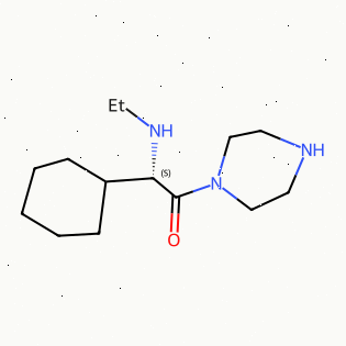 CCN[C@H](C(=O)N1CCNCC1)C1CCCCC1